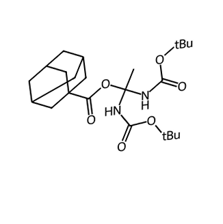 CC(C)(C)OC(=O)NC(C)(NC(=O)OC(C)(C)C)OC(=O)C12CC3CC(CC(C3)C1)C2